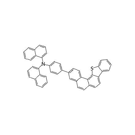 c1ccc2c(N(c3ccc(-c4ccc5c(ccc6ccc7c8ccccc8sc7c65)c4)cc3)c3cccc4ccccc34)cccc2c1